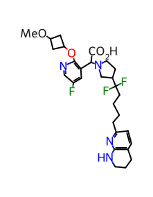 COC1CC(Oc2ncc(F)cc2C(C(=O)O)N2CCC(C(F)(F)CCCCc3ccc4c(n3)NCCC4)C2)C1